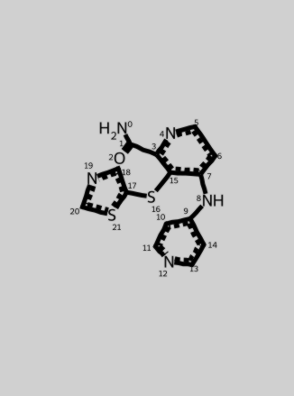 NC(=O)c1nccc(Nc2ccncc2)c1Sc1cncs1